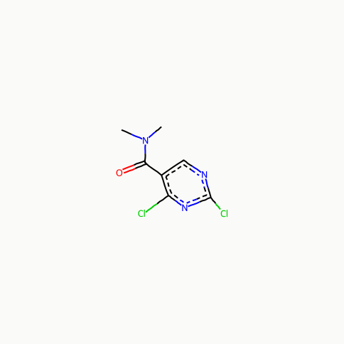 CN(C)C(=O)c1cnc(Cl)nc1Cl